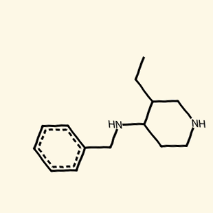 CCC1CNCCC1NCc1ccccc1